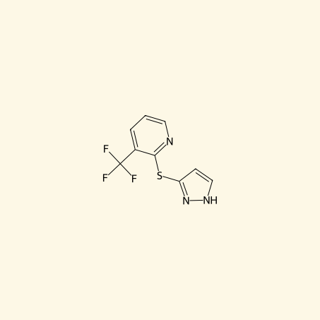 FC(F)(F)c1cccnc1Sc1cc[nH]n1